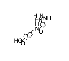 CC(C)(C)c1cc(CCNC(=O)c2cccc(NC(=N)N)c2)ccc1CCC(=O)O